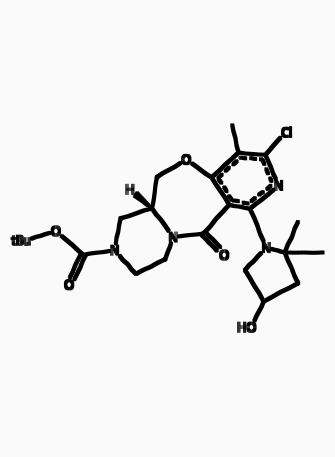 Cc1c(Cl)nc(N2CC(O)CC2(C)C)c2c1OC[C@H]1CN(C(=O)OC(C)(C)C)CCN1C2=O